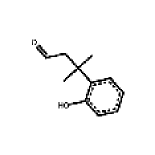 CC(C)(CC=O)c1ccccc1O